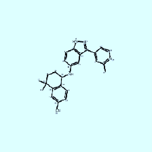 Cc1cc(-c2n[nH]c3ccc(NC4CCC(C)(C)c5cc(C#N)ccc54)cc23)ccn1